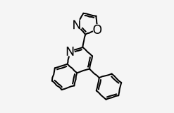 c1ccc(-c2cc(-c3ncco3)nc3ccccc23)cc1